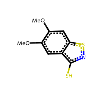 COc1cc2snc(S)c2cc1OC